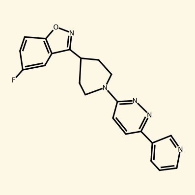 Fc1ccc2onc(C3CCN(c4ccc(-c5cccnc5)nn4)CC3)c2c1